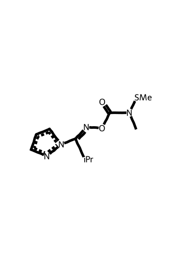 CSN(C)C(=O)ON=C(C(C)C)n1cccn1